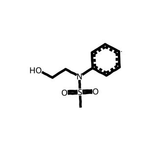 CS(=O)(=O)N(CCO)c1cc[c]cc1